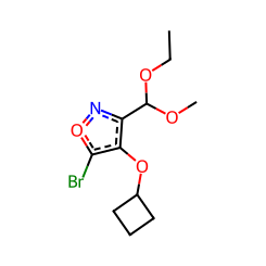 CCOC(OC)c1noc(Br)c1OC1CCC1